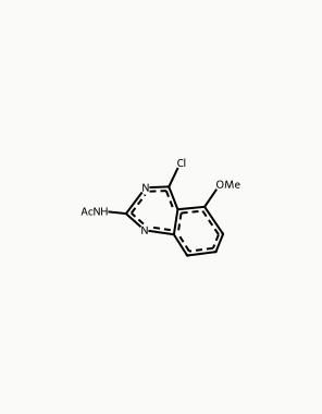 COc1cccc2nc(NC(C)=O)nc(Cl)c12